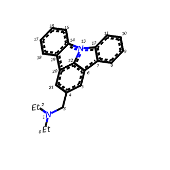 CCN(CC)Cc1cc2c3ccccc3n3c4ccccc4c(c1)c23